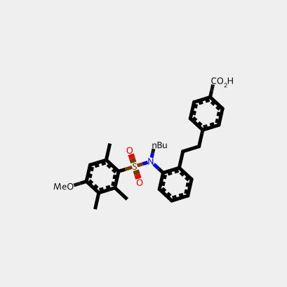 CCCCN(c1ccccc1CCc1ccc(C(=O)O)cc1)S(=O)(=O)c1c(C)cc(OC)c(C)c1C